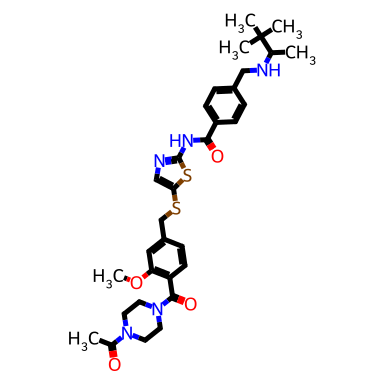 COc1cc(CSc2cnc(NC(=O)c3ccc(CNC(C)C(C)(C)C)cc3)s2)ccc1C(=O)N1CCN(C(C)=O)CC1